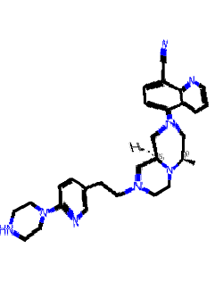 C[C@@H]1CN(c2ccc(C#N)c3ncccc23)C[C@@H]2CN(CCc3ccc(N4CCNCC4)nc3)CCN21